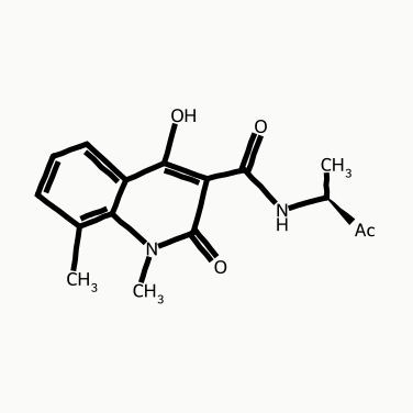 CC(=O)[C@H](C)NC(=O)c1c(O)c2cccc(C)c2n(C)c1=O